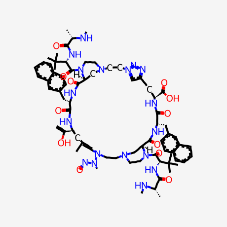 C=C(O)[C@@H]1C/C(C)=C/N(N(C)N=O)CCN2CCN(C(=O)[C@@H](NC(=O)[C@H](C)NC)C(C)(C)C)[C@@H](C2)C(=O)N[C@@H](Cc2ccc3ccccc3c2)C(=O)N[C@H](C(=O)O)Cc2cn(nn2)CCN2CCN(C(=O)[C@@H](NC(=O)[C@H](C)NC)C(C)(C)C)[C@@H](C2)C(=O)N[C@@H](Cc2ccc3ccccc3c2)C(=O)N1